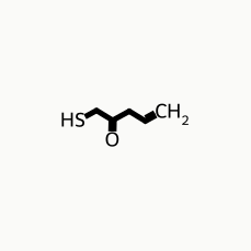 C=CCC(=O)CS